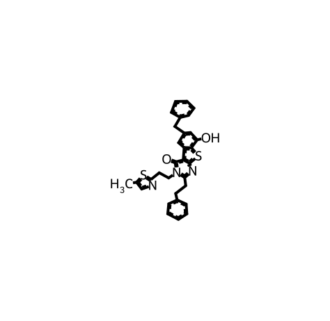 Cc1cnc(CCn2c(CCc3ccccc3)nc3sc4c(O)cc(Cc5ccccc5)cc4c3c2=O)s1